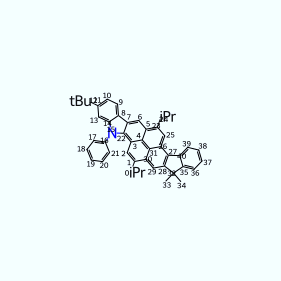 CC(C)c1cc2c3c(cc4c5ccc(C(C)(C)C)cc5n(-c5ccccc5)c42)c(C(C)C)cc2c4c(cc1c23)C(C)(C)c1ccccc1-4